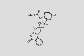 COC(=O)Oc1ccc(F)cc1C(C)(C)CC(O)(Cn1ccc(=O)c2ccccc21)C(F)(F)F